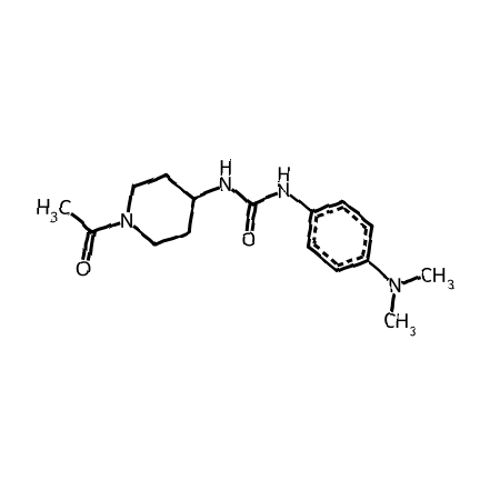 CC(=O)N1CCC(NC(=O)Nc2ccc(N(C)C)cc2)CC1